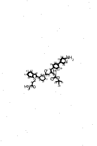 CNC(=O)CCn1c(C2CCCN(C(=O)C[C@@H](Cc3ccc(-c4ccc(N)nc4)cc3)NC(=O)OC(C)(C)C)C2)cc2ccccc21